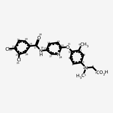 Cc1cc(N(C)CC(=O)O)ccc1Oc1ccc(NC(=O)c2ccc(Cl)c(Cl)c2)cn1